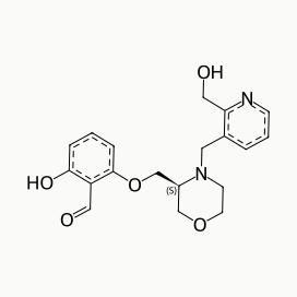 O=Cc1c(O)cccc1OC[C@@H]1COCCN1Cc1cccnc1CO